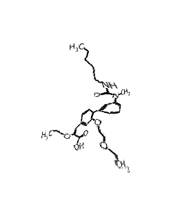 CCCCCNC(=O)N(C)c1cccc(-c2ccc(/C=C(/OCC)C(=O)O)cc2OCCOCC)c1